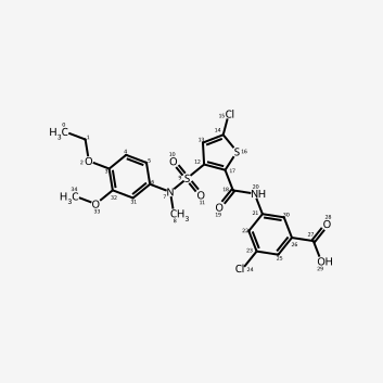 CCOc1ccc(N(C)S(=O)(=O)c2cc(Cl)sc2C(=O)Nc2cc(Cl)cc(C(=O)O)c2)cc1OC